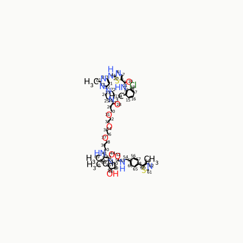 Cc1nc(Nc2ncc(C(=O)Nc3c(C)cccc3Cl)s2)cc(N2CCN(C(=O)CCOCCOCCOCCCNC(C(=O)N3C[C@H](O)C[C@H]3C(=O)NCc3ccc(-c4scnc4C)cc3)C(C)(C)C)CC2)n1